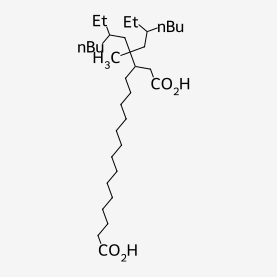 CCCCC(CC)CC(C)(CC(CC)CCCC)C(CCCCCCCCCCCCCC(=O)O)CC(=O)O